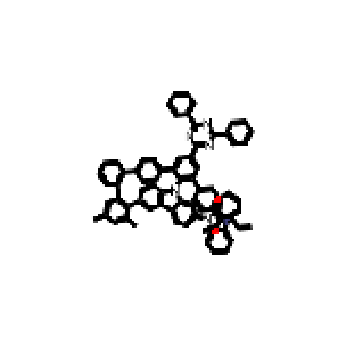 C=C/C=C(\C=C)c1ccc(-c2cc(-c3nc(-c4ccccc4)nc(-c4ccccc4)n3)cc(-c3ccc(-c4ccccc4)cc3)c2-n2c3ccc(-c4c(C)cc(C)cc4C)cc3c3ccc(-n4c5ccccc5c5ccccc54)cc32)cc1